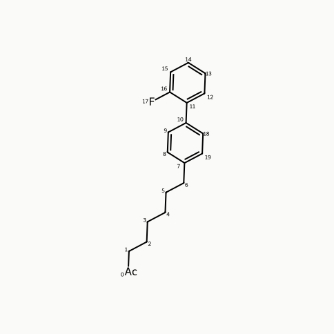 CC(=O)CCCCCCc1ccc(-c2ccccc2F)cc1